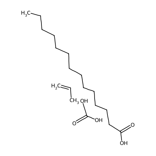 C=CC.CCCCCCCCCCCCCC(=O)O.O=C(O)O